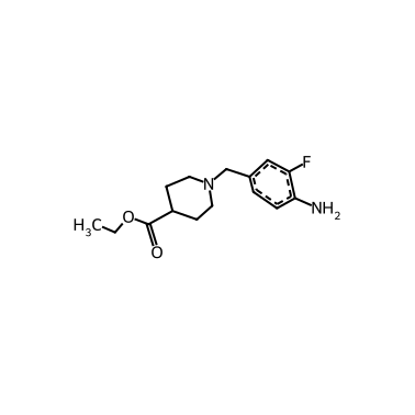 CCOC(=O)C1CCN(Cc2ccc(N)c(F)c2)CC1